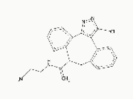 C=C(NCCN)C1Cc2ccccc2-c2c(nnn2C)-c2ccccc21